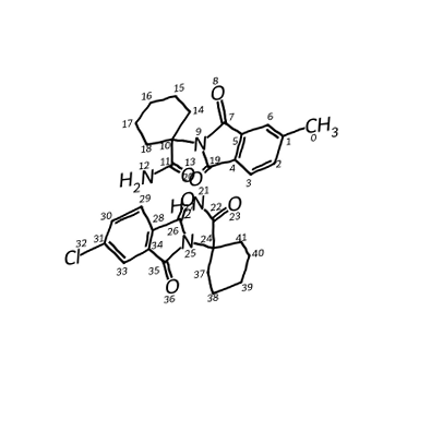 Cc1ccc2c(c1)C(=O)N(C1(C(N)=O)CCCCC1)C2=O.NC(=O)C1(N2C(=O)c3ccc(Cl)cc3C2=O)CCCCC1